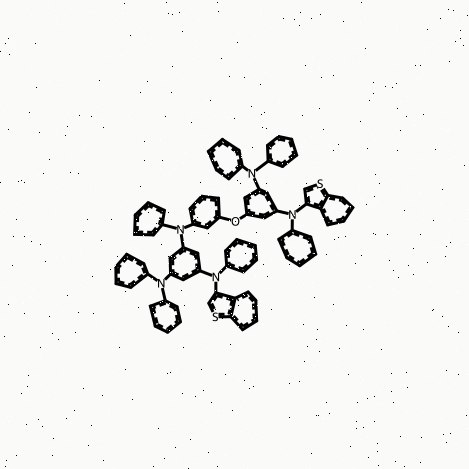 c1ccc(N(c2ccccc2)c2cc(Oc3cccc(N(c4ccccc4)c4cc(N(c5ccccc5)c5ccccc5)cc(N(c5ccccc5)c5csc6ccccc56)c4)c3)cc(N(c3ccccc3)c3csc4ccccc34)c2)cc1